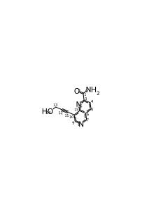 NC(=O)c1ccc2cncc(C#CCO)c2n1